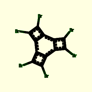 Brc1c(Br)c2c1c1c(Br)c(Br)c1c1c(Br)c(Br)c21